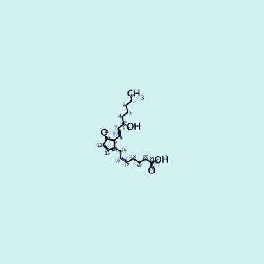 CCCCC[C@H](O)/C=C/C1C(=O)C=C[C@@H]1C/C=C\CCCC(=O)O